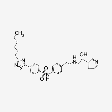 CCCCCCc1nsc(-c2ccc(S(=O)(=O)Nc3ccc(CCNCC(O)c4cccnc4)cc3)cc2)n1